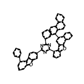 c1ccc(-c2nc(-c3ccc4c(c3)oc3cccc(-c5ccccc5)c34)nc(-c3cccc4oc5c6ccccc6c(-c6cccc7c6ccc6ccccc67)cc5c34)n2)cc1